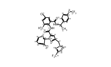 Cc1cc(Cl)cc(C(=O)NC(C)c2ccc(OC(F)(F)F)cc2)c1NC(=O)c1cc(Cn2nnc(C(F)(F)F)n2)nn1-c1ncccc1Cl